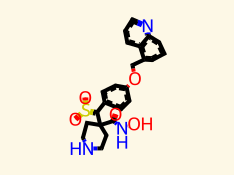 O=C(NO)C1(C(c2ccc(OCc3cccc4ncccc34)cc2)=S(=O)=O)CCNCC1